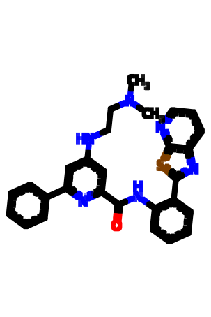 CN(C)CCNc1cc(C(=O)Nc2ccccc2-c2nc3cccnc3s2)nc(-c2ccccc2)c1